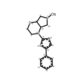 N#CN1CC2OCCN(c3ncc(-c4ccccc4)s3)C2C1